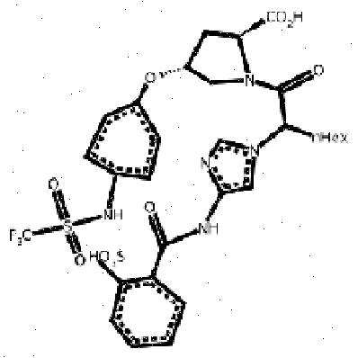 CCCCCCC(C(=O)N1C[C@H](Oc2ccc(NS(=O)(=O)C(F)(F)F)cc2)C[C@H]1C(=O)O)n1cnc(NC(=O)c2ccccc2S(=O)(=O)O)c1